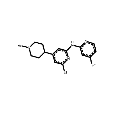 CCc1cc(C2CCN(C(C)=O)CC2)cc(Nc2cc(C(C)C)ccn2)n1